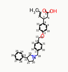 CC=CC(CC(=O)O)c1ccc(OCc2ccc(CN3CCC(c4ccccc4)C3)cc2)cc1